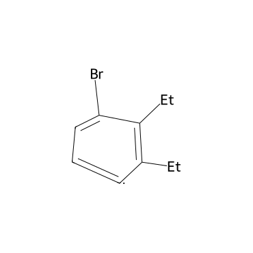 CCc1[c]ccc(Br)c1CC